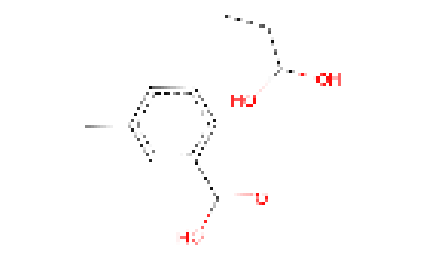 CCC(O)O.Cc1cccc(C(=O)O)c1